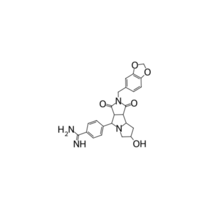 N=C(N)c1ccc(C2C3C(=O)N(Cc4ccc5c(c4)OCO5)C(=O)C3C3CC(O)CN32)cc1